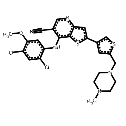 COc1cc(Nc2c(C#N)cnc3cc(-c4csc(CN5CCN(C)CC5)c4)sc23)c(Cl)cc1Cl